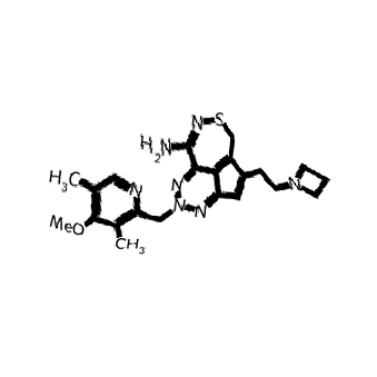 COc1c(C)cnc(Cn2nc3cc(CCN4CCC4)c4c-3c(n2)C(N)=NSC4)c1C